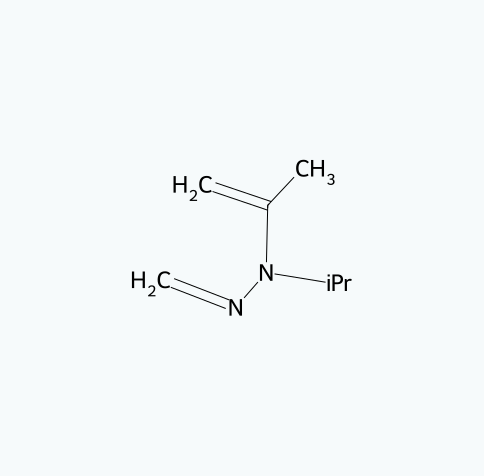 C=NN(C(=C)C)C(C)C